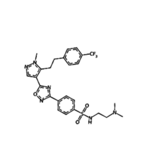 CN(C)CCNS(=O)(=O)c1ccc(-c2noc(-c3cnn(C)c3CCc3ccc(C(F)(F)F)cc3)n2)cc1